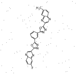 Cc1ccc2ncc(-c3nnc(-c4cccc(-c5nnc(-c6cnc7ccc(F)cc7n6)o5)c4)o3)nc2c1